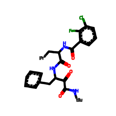 CC(C)CC(NC(=O)c1cccc(Cl)c1F)C(=O)NC(Cc1ccccc1)C(=O)C(=O)NC(C)(C)C